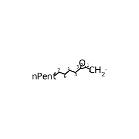 [CH2]C1OC1CCCCCCCCC